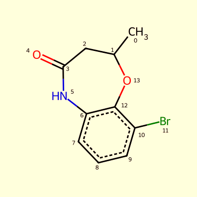 CC1CC(=O)Nc2cccc(Br)c2O1